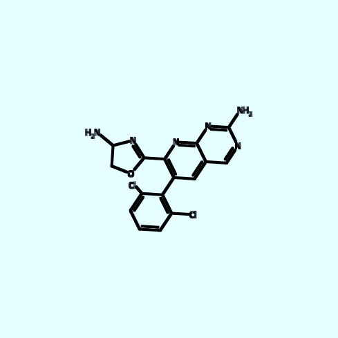 Nc1ncc2cc(-c3c(Cl)cccc3Cl)c(C3=NC(N)CO3)nc2n1